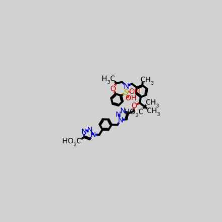 Cc1ccc(C(OCc2cn(Cc3cccc(Cn4cc(C(=O)O)nn4)c3)nn2)C(C)(C)C(=O)O)cc1CN1CC(C)Oc2ccccc2S1(O)O